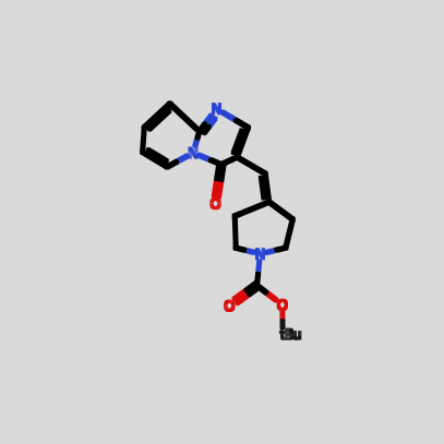 CC(C)(C)OC(=O)N1CCC(=Cc2cnc3ccccn3c2=O)CC1